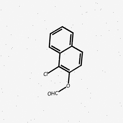 O=COc1ccc2ccccc2c1Cl